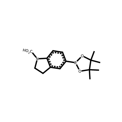 CC1(C)OB(c2ccc3c(c2)CCN3C(=O)O)OC1(C)C